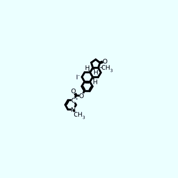 CN1CC=C[C+](C(=O)Oc2ccc3c(c2)CC[C@@H]2[C@@H]3CC[C@]3(C)C(=O)CC[C@@H]23)C1.[I-]